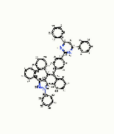 c1ccc(-c2cc(-c3ccccc3)nc(-c3ccc(-c4c(-c5ccccc5)c5c(-c6ccccc6)nn(-c6ccccc6)c5c5ccccc45)cc3)n2)cc1